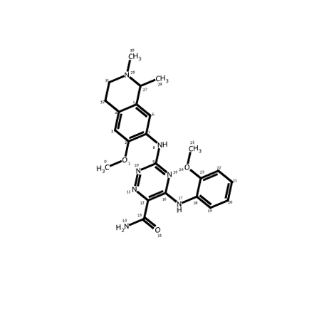 COc1cc2c(cc1Nc1nnc(C(N)=O)c(Nc3ccccc3OC)n1)C(C)N(C)CC2